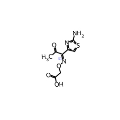 CC(=O)/C(=N\OCC(=O)O)c1csc(N)n1